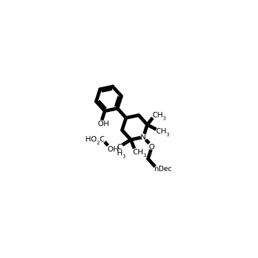 CCCCCCCCCCCON1C(C)(C)CC(c2ccccc2O)CC1(C)C.O=C(O)O